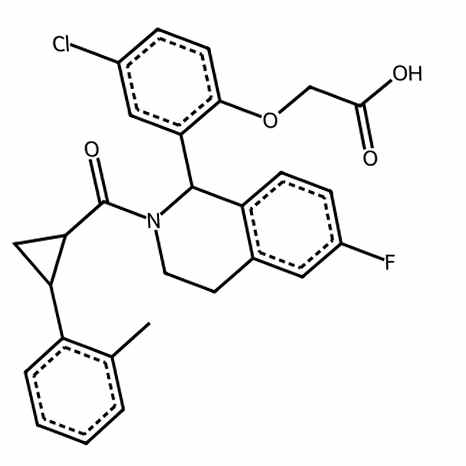 Cc1ccccc1C1CC1C(=O)N1CCc2cc(F)ccc2C1c1cc(Cl)ccc1OCC(=O)O